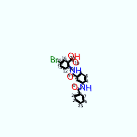 O=C(Nc1cccc(C(=O)Nc2ccc(Br)cc2C(=O)O)c1)c1ccccc1